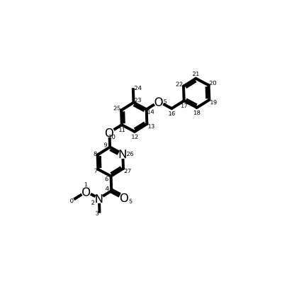 CON(C)C(=O)c1ccc(Oc2ccc(OCc3ccccc3)c(C)c2)nc1